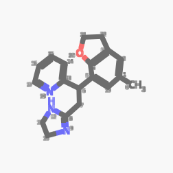 Cc1cc2c(c(C(CC3=NCCN3)c3ccccn3)c1)OCC2